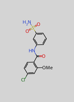 COc1cc(Cl)ccc1C(=O)Nc1cccc(S(N)(=O)=O)c1